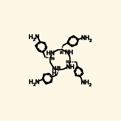 Nc1ccc(C[C@H]2CN[C@@H](Cc3ccc(N)cc3)CN[C@@H](Cc3ccc(N)cc3)CN[C@@H](Cc3ccc(N)cc3)CN2)cc1